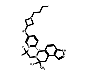 CC1(C)Cc2c(ccc3[nH]ncc23)[C@@H](c2ccc(NC3CN(CCCF)C3)cn2)N1CC(F)(F)F